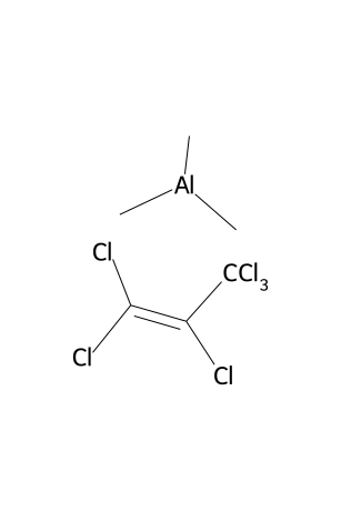 ClC(Cl)=C(Cl)C(Cl)(Cl)Cl.[CH3][Al]([CH3])[CH3]